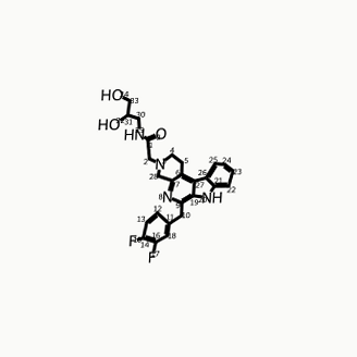 O=C(CN1CCc2c(nc(Cc3ccc(F)c(F)c3)c3[nH]c4ccccc4c23)C1)NCC(O)CO